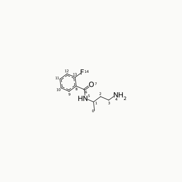 CC(CCN)NC(=O)c1ccccc1F